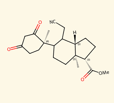 COC(=O)[C@H]1CC[C@H]2C(CC#N)C([C@@]3(C)CCC(=O)CC3=O)CC[C@]12C